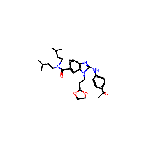 CC(=O)c1ccc(Nc2nc3ccc(C(=O)N(CCC(C)C)CCC(C)C)cc3n2CCC2OCCO2)cc1